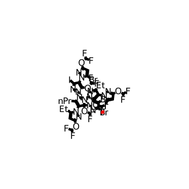 CCCC1=C(n2nc(OC(F)F)cc2CC)C(OC(F)F)(n2cc(Br)c(Br)n2)[N+](n2nc(CC)c(-n3nc(OC(F)F)cc3I)c2OC(F)F)N1n1nc(I)c(-n2nc(OC(F)F)cc2Br)c1OC(F)F